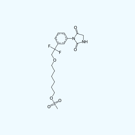 CS(=O)(=O)OCCCCCCOCC(F)(F)c1cccc(N2C(=O)CNC2=O)c1